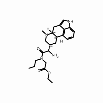 CCCN(CC(=O)OCC)C(=O)C(N)[C@@H]1C[C@@H]2c3cccc4[nH]cc(c34)C[C@H]2N(C)C1